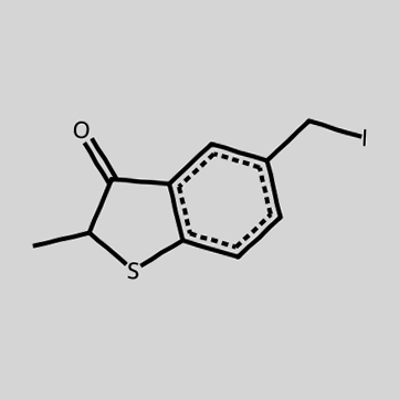 CC1Sc2ccc(CI)cc2C1=O